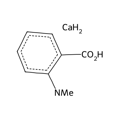 CNc1ccccc1C(=O)O.[CaH2]